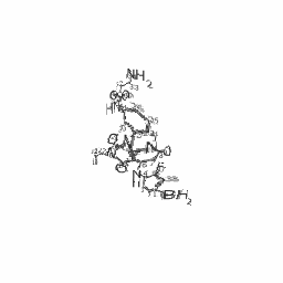 Bc1ccc(Nc2cc(=O)n(C)c3c2c(=O)n(C2CC2)c(=O)n3-c2cccc(NS(=O)(=O)CCN)c2)c(F)c1